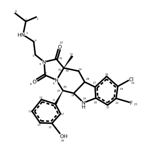 CC(C)NCCN1C(=O)N2[C@H](c3cccc(O)c3)C3Nc4cc(F)c(Cl)cc4C3C[C@@]2(C)C1=O